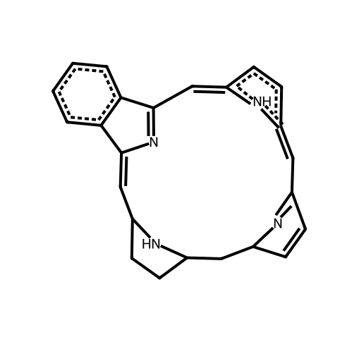 C1=CC2CC3CCC(C=C4N=C(C=c5ccc([nH]5)=CC1=N2)c1ccccc14)N3